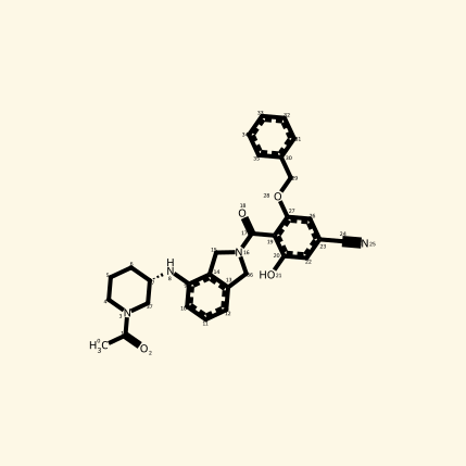 CC(=O)N1CCC[C@H](Nc2cccc3c2CN(C(=O)c2c(O)cc(C#N)cc2OCc2ccccc2)C3)C1